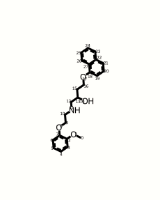 COc1ccccc1OCCNCC(O)CCOc1cccc2ccccc12